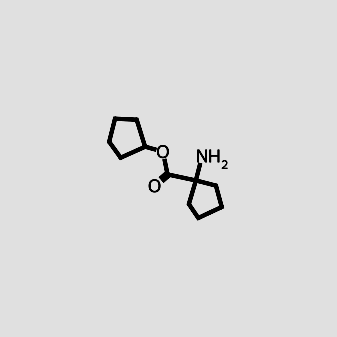 NC1(C(=O)OC2CCCC2)CCCC1